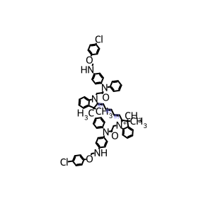 CC1(C)C(/C=C/C=C/C=C2/N(CC(=O)N(c3ccccc3)c3ccc(NCOc4ccc(Cl)cc4)cc3)c3ccccc3C2(C)C)=[N+](CC(=O)N(c2ccccc2)c2ccc(NCOc3ccc(Cl)cc3)cc2)c2ccccc21